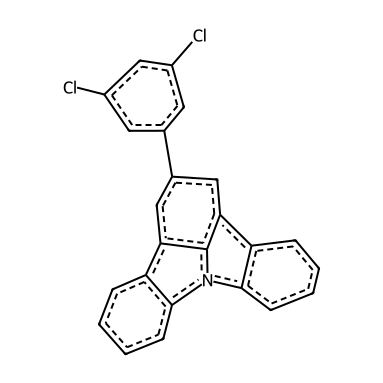 Clc1cc(Cl)cc(-c2cc3c4ccccc4n4c5ccccc5c(c2)c34)c1